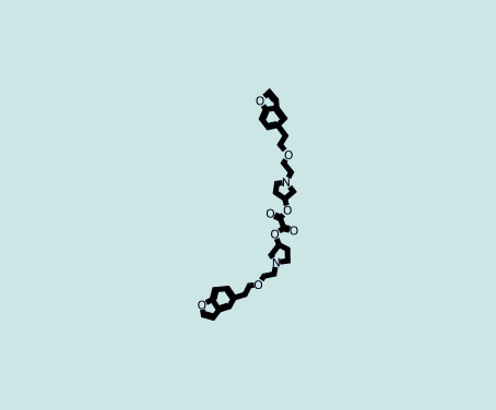 O=C(OC1CCN(CCOCCc2ccc3occc3c2)C1)C(=O)OC1CCN(CCOCCc2ccc3occc3c2)C1